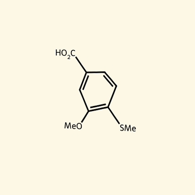 COc1cc(C(=O)O)ccc1SC